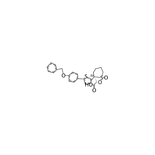 O=C(O)C[C@]1(c2ccc(-c3ccc(OCc4ccccc4)cc3)s2)CCCCS1(=O)=O